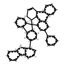 C1=Cc2c3c4c(cc(-c5ccccc5)cc4c4ccccc24)C2(c4ccccc4-c4cc(-c5cccc6c5sc5ccccc56)ccc42)C3C1